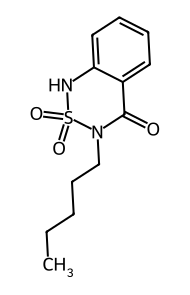 CCCCCN1C(=O)c2ccccc2NS1(=O)=O